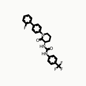 O=C(Nc1ccc(C(F)(F)F)cc1)N[C@@H]1CCCN(c2ccc(-c3ccccc3F)cc2)C1=O